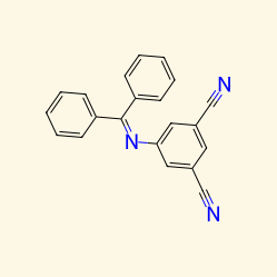 N#Cc1cc(C#N)cc(N=C(c2ccccc2)c2ccccc2)c1